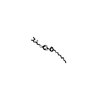 CCCCCCCCCCc1ccc(-c2ncc(OCCC(F)CC(C)CC)cn2)cc1